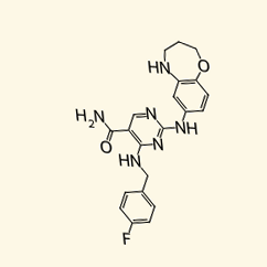 NC(=O)c1cnc(Nc2ccc3c(c2)NCCCO3)nc1NCc1ccc(F)cc1